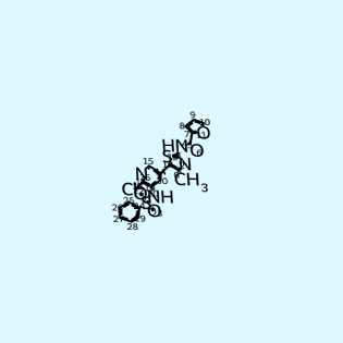 Cc1nc(NC(=O)c2ccco2)sc1-c1cnc(Cl)c(NS(=O)(=O)c2ccccc2)c1